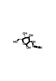 [N-]=[N+]=NN[C@H]1C(O)O[C@H](CO)[C@H](O)[C@@H]1O